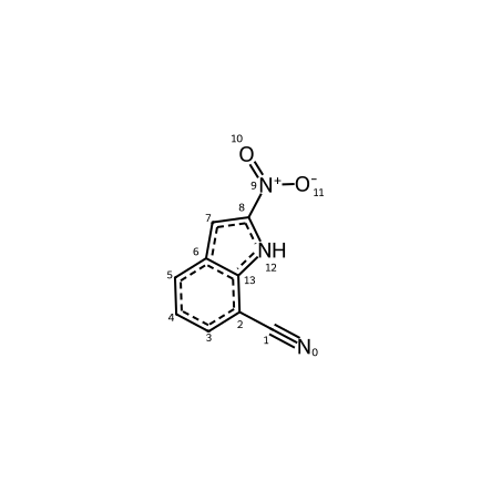 N#Cc1cccc2cc([N+](=O)[O-])[nH]c12